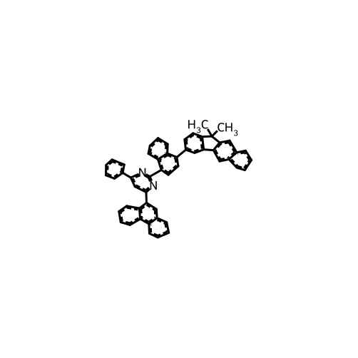 CC1(C)c2ccc(-c3ccc(-c4nc(-c5ccccc5)cc(-c5cc6ccccc6c6ccccc56)n4)c4ccccc34)cc2-c2cc3ccccc3cc21